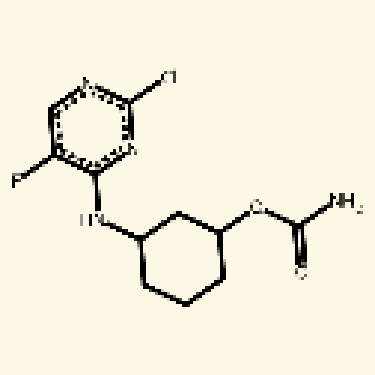 NC(=O)OC1CCCC(Nc2nc(Cl)ncc2F)C1